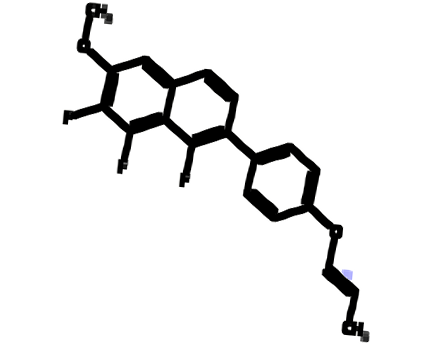 C/C=C/Oc1ccc(-c2ccc3cc(OC)c(F)c(F)c3c2F)cc1